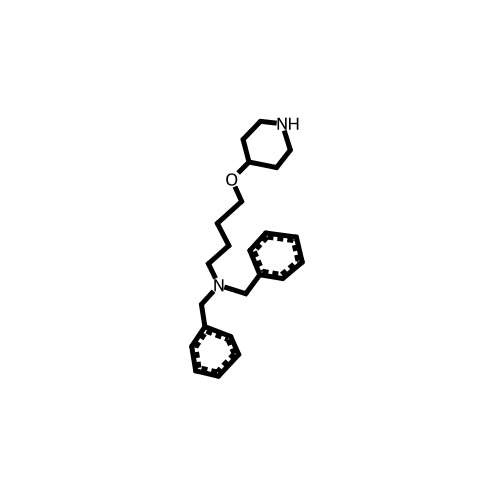 c1ccc(CN(CCCCOC2CCNCC2)Cc2ccccc2)cc1